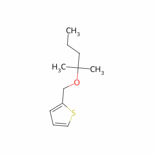 CCCC(C)(C)OCc1cccs1